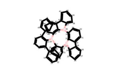 c1ccc(-c2cccc(-c3ccccc3)c2B2c3ccccc3B3c4ccccc4-c4cccc(c43)B3c4ccccc4-c4cccc2c43)cc1